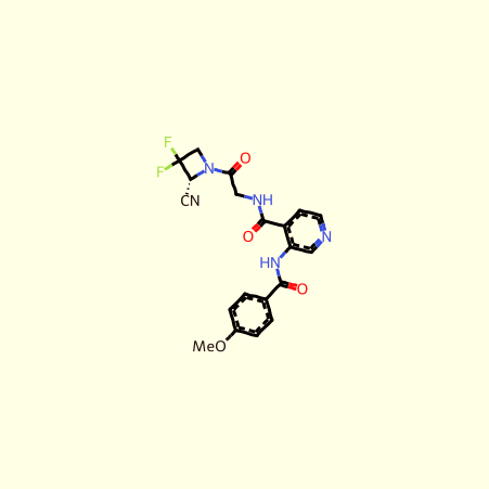 COc1ccc(C(=O)Nc2cnccc2C(=O)NCC(=O)N2CC(F)(F)[C@H]2C#N)cc1